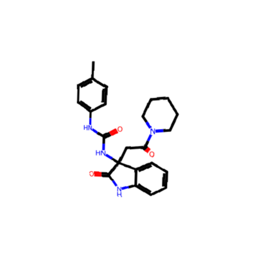 Cc1ccc(NC(=O)NC2(CC(=O)N3CCCCC3)C(=O)Nc3ccccc32)cc1